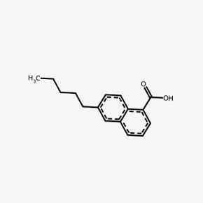 CCCCCc1ccc2c(C(=O)O)cccc2c1